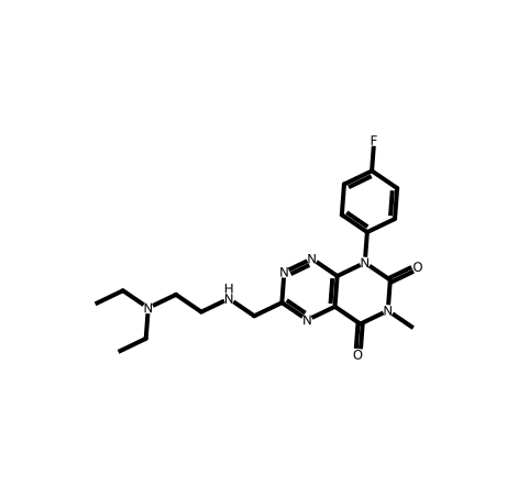 CCN(CC)CCNCc1nnc2c(n1)c(=O)n(C)c(=O)n2-c1ccc(F)cc1